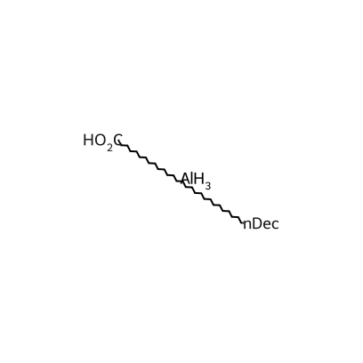 CCCCCCCCCCCCCCCCCCCCCCCCCCCCCCCCCCCCCC(=O)O.[AlH3]